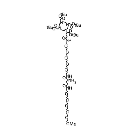 COCCOCCOCCOCCOCCOCCNC(=O)CC[C@@H](N)C(=O)NCCOCCOCCOCCOCCOCCNC(=O)CCC(C(=O)OC(C)(C)C)N1CCN(CC(=O)OC(C)(C)C)CCN(CC(=O)OC(C)(C)C)CCN(CC(=O)OC(C)(C)C)CC1